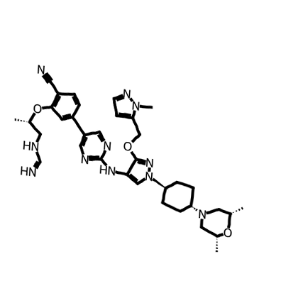 C[C@@H]1CN([C@H]2CC[C@H](n3cc(Nc4ncc(-c5ccc(C#N)c(O[C@@H](C)CNC=N)c5)cn4)c(OCc4ccnn4C)n3)CC2)C[C@H](C)O1